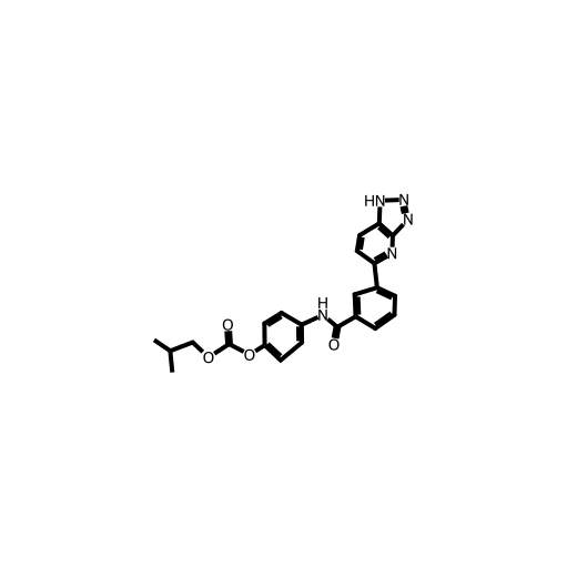 CC(C)COC(=O)Oc1ccc(NC(=O)c2cccc(-c3ccc4[nH]nnc4n3)c2)cc1